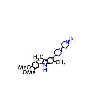 COc1ccc(-c2[nH]c3cc(C)c(C4CCN(C5CCN(C(C)C)CC5)CC4)cc3c2C)cc1OC